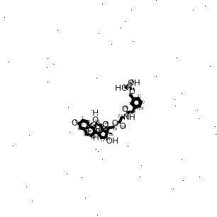 C[C@]12C=CC(=O)C=C1CC[C@H]1[C@@H]3C[C@@H](O)[C@@](C)(C(=O)COC(=O)CNC(=O)Cc4cccc(CON(O)O)c4)[C@@]3(C)C[C@H](O)[C@@]12F